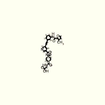 Cc1ccoc1C(=O)Nc1cccc(C#Cc2cncc(C(=O)N=S3(=O)CCN(C(=O)NCC(=O)O)CC3)c2)c1